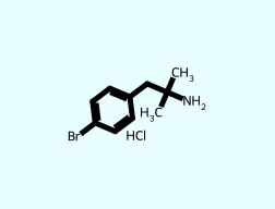 CC(C)(N)Cc1ccc(Br)cc1.Cl